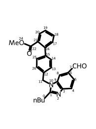 CCCCc1nc2ccc(C=O)cc2n1Cc1ccc(-c2ccccc2C(=O)OC)cc1